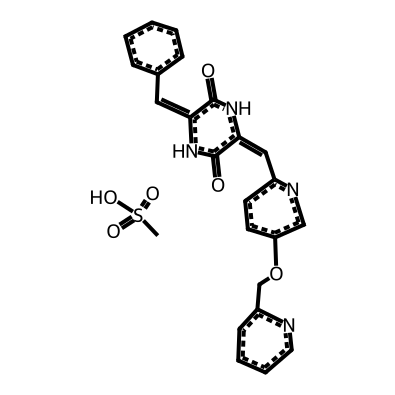 CS(=O)(=O)O.O=c1[nH]c(=Cc2ccc(OCc3ccccn3)cn2)c(=O)[nH]c1=Cc1ccccc1